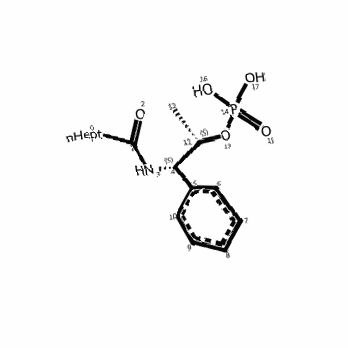 CCCCCCCC(=O)N[C@@H](c1ccccc1)[C@H](C)OP(=O)(O)O